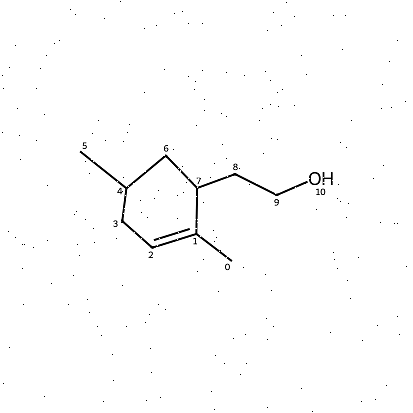 CC1=CCC(C)CC1CCO